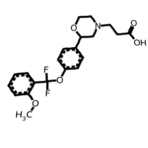 COc1ccccc1C(F)(F)Oc1ccc(C2CN(CCC(=O)O)CCO2)cc1